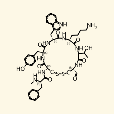 CN[C@H](Cc1ccccc1)C(=O)N[C@H]1CSSC[C@@H](C=O)NC(=O)C(C(C)O)NC(=O)[C@H](CCCCN)NC(=O)[C@@H](Cc2c[nH]c3ccccc23)NC(=O)[C@H](Cc2ccc(O)cc2)NC1=O